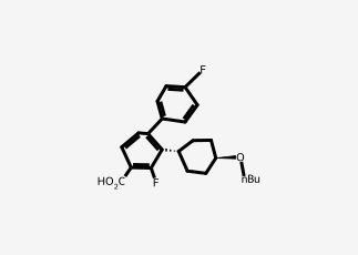 CCCCO[C@H]1CC[C@H](c2c(-c3ccc(F)cc3)ccc(C(=O)O)c2F)CC1